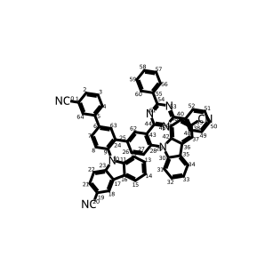 N#Cc1cccc(-c2ccc(-n3c4ccccc4c4cc(C#N)ccc43)c(-c3ccc(-n4c5ccccc5c5cc(C#N)ccc54)c(-c4nc(-c5ccccc5)nc(-c5ccccc5)n4)c3)c2)c1